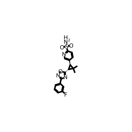 CC1(C)[C@H](c2ccc(S(N)(=O)=O)nc2)[C@H]1c1nc(-c2cccc(F)c2)no1